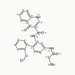 CCOc1ccccc1-c1ccc(NC(=O)OC(C)(C)C)cc1NC(=O)c1c[nH]c2ccccc2c1=O